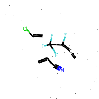 C=C=C(F)C(F)(F)F.C=CC#N.C=CCl